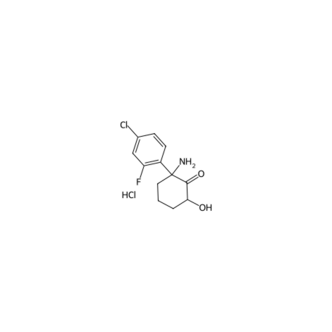 Cl.NC1(c2ccc(Cl)cc2F)CCCC(O)C1=O